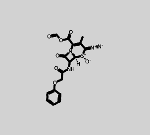 CC1=C(C(=O)OC=O)N2C(=O)C(NC(=O)COc3ccccc3)[C@@H]2[S@@+]([O-])C1=[N+]=[N-]